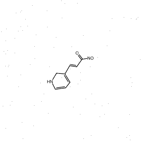 O=NC(=O)/C=C/C1=CC=CNC1